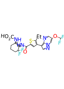 CCc1sc(C(=O)N[C@@H]2[C@H](NC(=O)O)CCCC2(F)F)cc1-c1cnn2cc(OC(F)F)cnc12